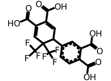 O=C(O)C1=CC(c2ccc(C(=O)O)c(C(=O)O)c2)C(C(F)(F)F)(C(F)(F)F)C=C1C(=O)O